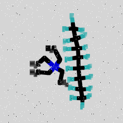 CC[N+](CC)(CC)CC.FC(F)(F)C(F)(F)C(F)(F)C(F)(F)C(F)(F)C(F)(F)C(F)(F)C(F)(F)F